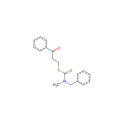 CN(Cc1ccccc1)C(=S)SCCC(=O)c1ccccc1